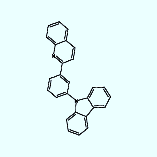 c1cc(-c2ccc3ccccc3n2)cc(-n2c3ccccc3c3ccccc32)c1